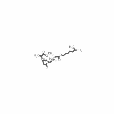 C=C(C)C(=O)OC.C=CC(=O)OCCCCCC(C)C.C=CN1CCCC1=O